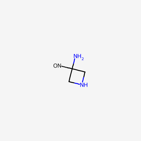 NC1(N=O)CNC1